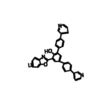 Oc1c(-c2ccc(-c3cccnc3)cc2)cc(-c2ccc(-c3cccnc3)cc2)cc1-c1nc2ccccc2o1.[Li]